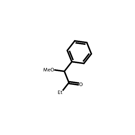 CCC(=O)C(OC)c1ccccc1